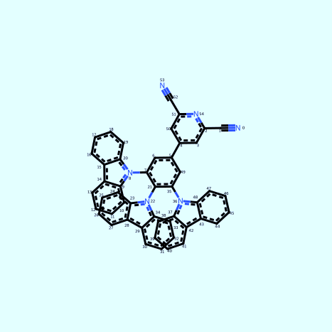 N#Cc1cc(-c2cc(-n3c4ccccc4c4ccccc43)c(-n3c4ccccc4c4ccccc43)c(-n3c4ccccc4c4ccccc43)c2)cc(C#N)n1